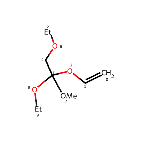 C=COC(COCC)(OC)OCC